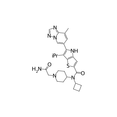 Cc1cc(-c2[nH]c3cc(C(=O)N(C4CCC4)C4CCN(CC(N)=O)CC4)sc3c2C(C)C)cn2ncnc12